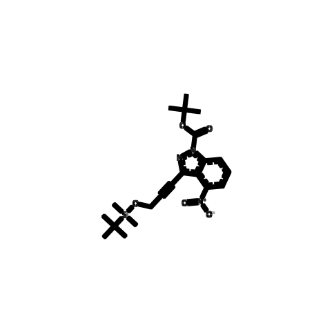 CC(C)(C)OC(=O)n1nc(C#CCO[Si](C)(C)C(C)(C)C)c2c([N+](=O)[O-])cccc21